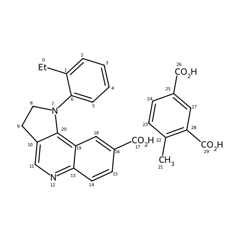 CCc1ccccc1N1CCc2cnc3ccc(C(=O)O)cc3c21.Cc1ccc(C(=O)O)cc1C(=O)O